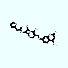 CC1=C(COc2ccc3c(C)cc(=O)oc3c2)CSC2C(NC(=O)Cc3cccs3)C(=O)N12